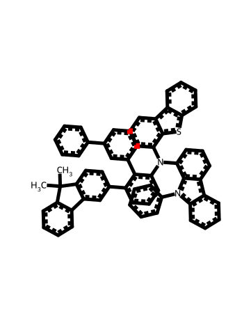 CC1(C)c2ccccc2-c2cc(-c3cccc(N(c4cccc5c4sc4ccccc45)c4cccc5c6ccccc6n(-c6ccccc6)c45)c3-c3cccc(-c4ccccc4)c3)ccc21